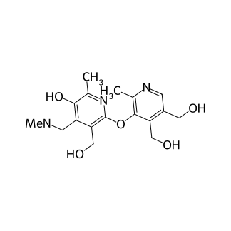 CNCc1c(O)c(C)nc(Oc2c(C)ncc(CO)c2CO)c1CO